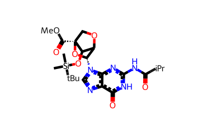 COC(=O)[C@]12COC(C1O[Si](C)(C)C(C)(C)C)[C@H](n1cnc3c(=O)[nH]c(NC(=O)C(C)C)nc31)O2